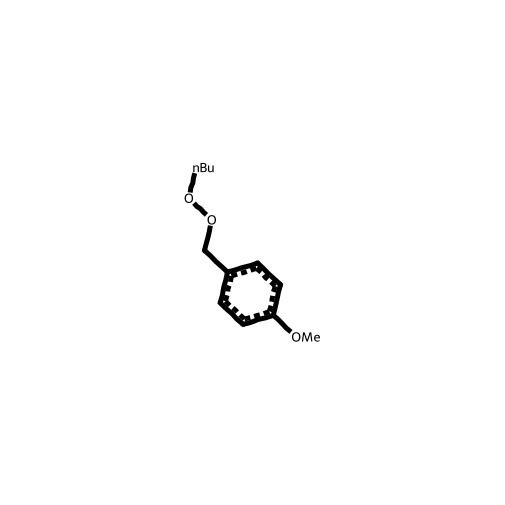 CCCCOOCc1ccc(OC)cc1